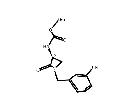 CC(C)(C)OC(=O)N[C@H]1CN(Cc2cccc(C#N)c2)C1=O